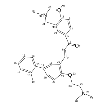 COc1ccc(C(=O)C=Cc2cc(-c3ccccc3C)ccc2OCCN(C)C)cc1CN(C)C